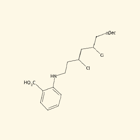 CCCCCCCCCCCC(Cl)CC(Cl)CCNc1ccccc1C(=O)O